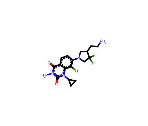 NCCC1CN(c2ccc3c(=O)n(N)c(=O)n(C4CC4)c3c2Cl)CC1(F)F